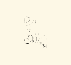 CS(=O)(=O)[C@H]1CCCC[C@@H]1NC(=O)c1cc(CN2CCC(C#N)(c3ccccn3)CC2)c2ccccn2c1=O